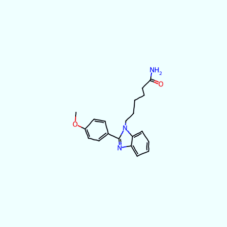 COc1ccc(-c2nc3ccccc3n2CCCCCC(N)=O)cc1